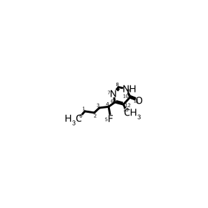 CCCCC(F)c1nc[nH]c(=O)c1C